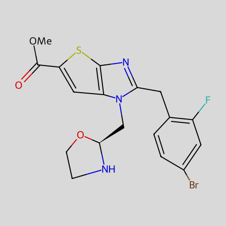 COC(=O)c1cc2c(nc(Cc3ccc(Br)cc3F)n2C[C@H]2NCCO2)s1